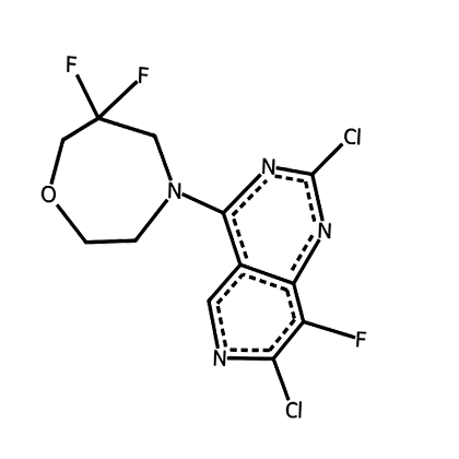 Fc1c(Cl)ncc2c(N3CCOCC(F)(F)C3)nc(Cl)nc12